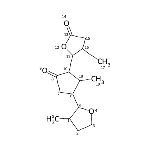 CC1CCOC1C1CC(=O)C(C2OC(=O)CC2C)C1C